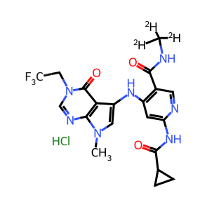 Cl.[2H]C([2H])([2H])NC(=O)c1cnc(NC(=O)C2CC2)cc1Nc1cn(C)c2ncn(CC(F)(F)F)c(=O)c12